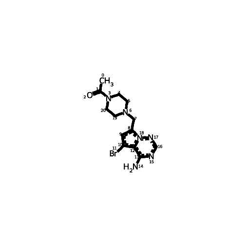 CC(=O)N1CCN(Cc2cc(Br)c3c(N)ncnn23)CC1